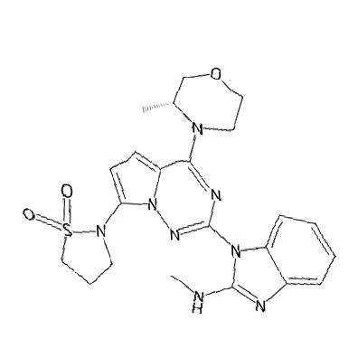 CNc1nc2ccccc2n1-c1nc(N2CCOC[C@H]2C)c2ccc(N3CCCS3(=O)=O)n2n1